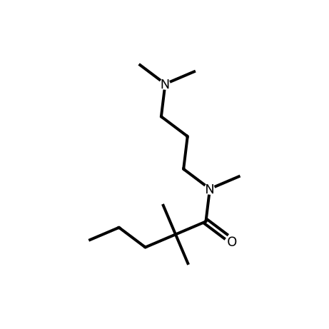 CCCC(C)(C)C(=O)N(C)CCCN(C)C